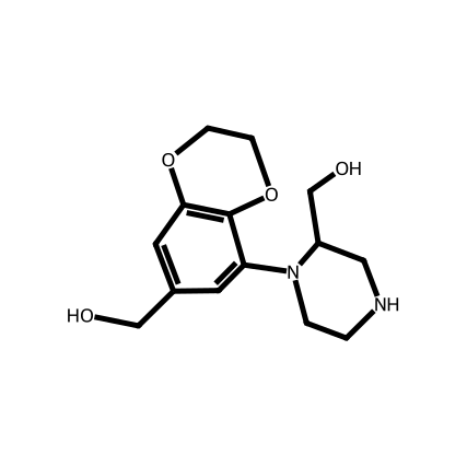 OCc1cc2c(c(N3CCNCC3CO)c1)OCCO2